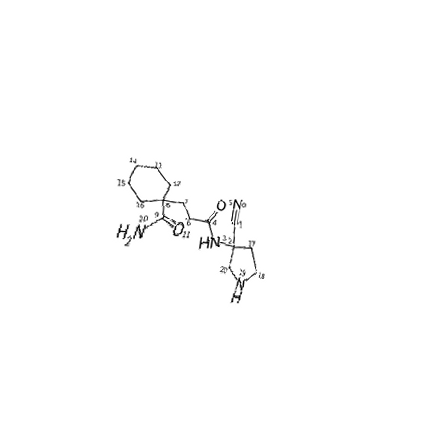 N#CC1(NC(=O)[CH]CC2(C(N)=O)CCCCC2)CCNC1